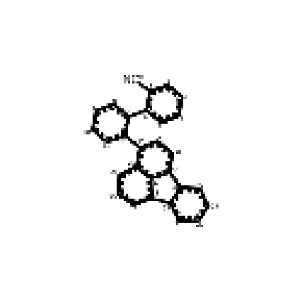 N#Cc1ccccc1-c1ccccc1-c1ccc2c3c(cccc13)-c1ccccc1-2